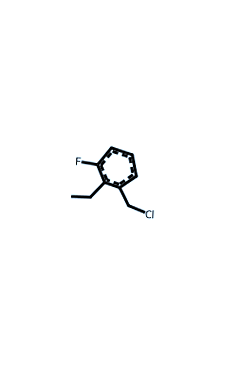 CCc1c(F)cccc1CCl